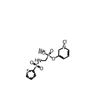 O=P(O)(CNS(=O)(=O)c1cccs1)OC1=CC=CN(Cl)C1.[Na]